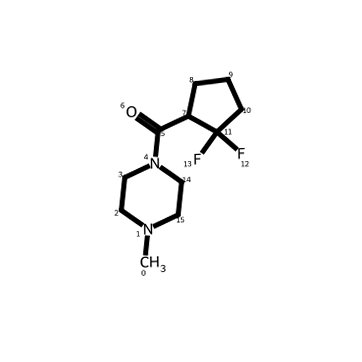 CN1CCN(C(=O)C2CCCC2(F)F)CC1